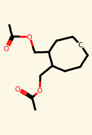 CC(=O)OCC1CCCCCCC1COC(C)=O